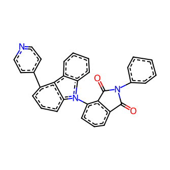 O=C1c2cccc(-n3c4ccccc4c4c(-c5ccncc5)cccc43)c2C(=O)N1c1ccccc1